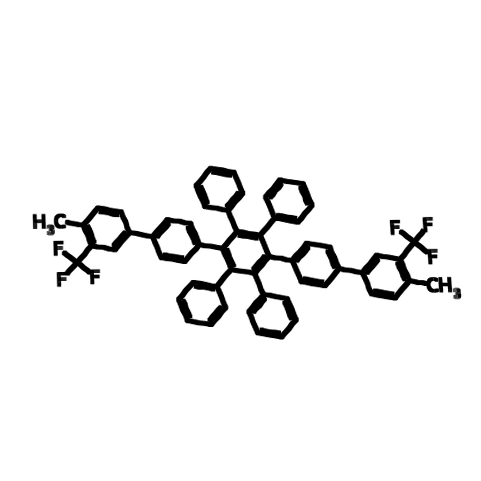 Cc1ccc(-c2ccc(-c3c(-c4ccccc4)c(-c4ccccc4)c(-c4ccc(-c5ccc(C)c(C(F)(F)F)c5)cc4)c(-c4ccccc4)c3-c3ccccc3)cc2)cc1C(F)(F)F